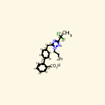 CC(C)CCn1nc(C(C)(F)F)nc1Cc1ccc(-c2ccccc2C(=O)O)cc1